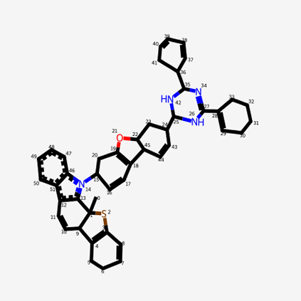 CC12SC3=C(CCC=C3)C1C=Cc1c2n(C2C=CC3=C(C2)OC2CC(C4NC(C5=CCCCC5)=NC(C5C=CC=CC5)N4)C=CC32)c2ccccc12